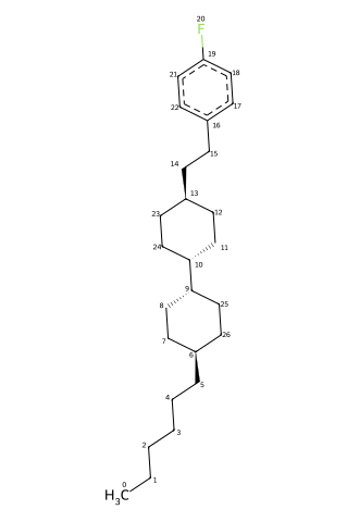 CCCCCC[C@H]1CC[C@H]([C@H]2CC[C@H](CCc3ccc(F)cc3)CC2)CC1